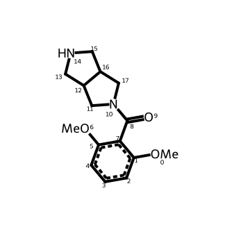 COc1cccc(OC)c1C(=O)N1CC2CNCC2C1